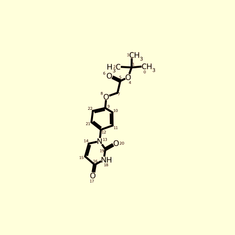 CC(C)(C)OC(=O)COc1ccc(-n2ccc(=O)[nH]c2=O)cc1